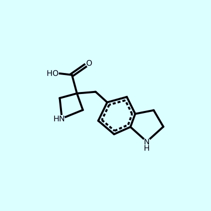 O=C(O)C1(Cc2ccc3c(c2)CCN3)CNC1